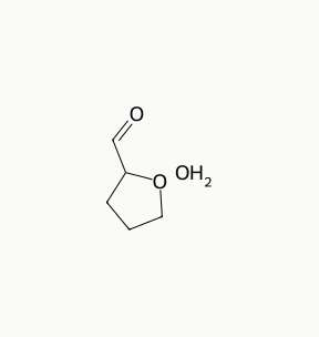 O.O=CC1CCCO1